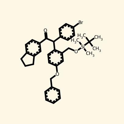 CC(C)(C)[Si](C)(C)OCc1cc(OCc2ccccc2)ccc1C(C(=O)c1ccc2c(c1)CCC2)c1ccc(Br)cc1